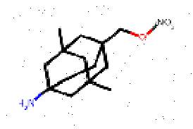 CC12CC3(C)CC(N)(C1)CC(CO[N+](=O)[O-])(C2)C3